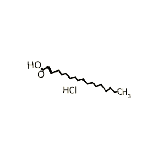 CCCCCCCCCCCCCCCC=CC(=O)O.Cl